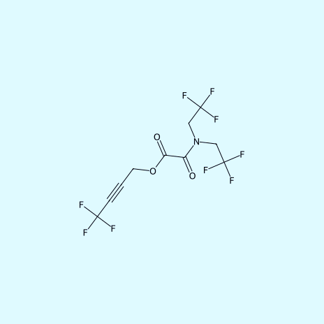 O=C(OCC#CC(F)(F)F)C(=O)N(CC(F)(F)F)CC(F)(F)F